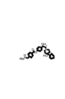 C[C@@H]([C@@H](O)c1ccc(OC(=O)c2ccc(CNC(C)(C)C)cc2)cc1)N1CCC(O)(c2ccccc2)CC1